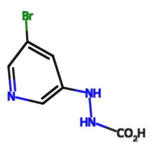 O=C(O)NNc1cncc(Br)c1